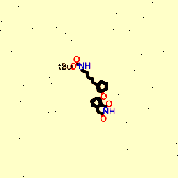 CC(C)(C)OC(=O)NCCCCCc1cccc(Oc2cccc3c2C(=O)NC(=O)C3)c1